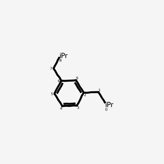 CC(C)Cc1cccc(CC(C)C)c1